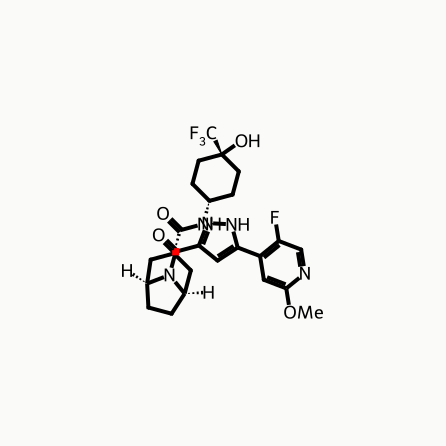 COc1cc(-c2cc(C(=O)N3[C@@H]4CC[C@H]3C[C@H](C(=O)N[C@H]3CC[C@](O)(C(F)(F)F)CC3)C4)n[nH]2)c(F)cn1